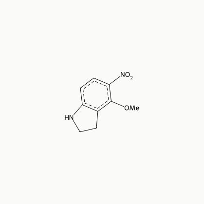 COc1c([N+](=O)[O-])ccc2c1CCN2